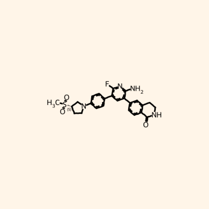 CS(=O)(=O)[C@H]1CCN(c2ccc(-c3cc(-c4ccc5c(c4)CCNC5=O)c(N)nc3F)cc2)C1